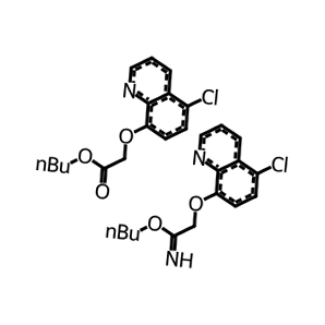 CCCCOC(=N)COc1ccc(Cl)c2cccnc12.CCCCOC(=O)COc1ccc(Cl)c2cccnc12